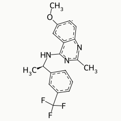 COc1[c]cc2nc(C)nc(N[C@H](C)c3cccc(C(F)(F)F)c3)c2c1